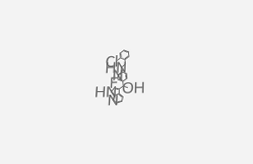 OC(c1ccc(NCc2ccccc2Cl)nc1F)c1c[nH]c2ncccc12